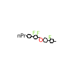 CCCc1ccc(-c2ccc(COC3CCC(c4ccc(C)cc4F)CC3)c(F)c2F)cc1